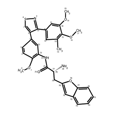 COc1ccc(-c2csnc2-c2cc(C)c(OC)c(OC)c2)cc1NC(=O)[C@H](N)Cc1cc2ccccc2o1